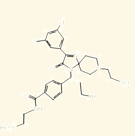 CC(C)(C)CC[C@H](c1ccc(C(=O)NCCC(=O)O)cc1)N1C(=O)C(c2cc(Cl)cc(Cl)c2)=NC12CCN(CCC(C)(C)C)CC2